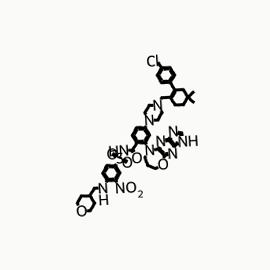 CC1(C)CCC(CN2CCN(c3ccc(C(=O)NS(=O)(=O)c4ccc(NCC5CCOCC5)c([N+](=O)[O-])c4)c(N4CCCOc5nc6[nH]cnc6nc54)c3)CC2)=C(c2ccc(Cl)cc2)C1